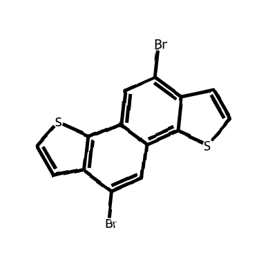 Brc1cc2c(cc(Br)c3ccsc32)c2sccc12